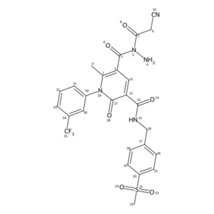 Cc1c(C(=O)N(N)C(=O)CC#N)cc(C(=O)NCc2ccc(S(C)(=O)=O)cc2)c(=O)n1-c1cccc(C(F)(F)F)c1